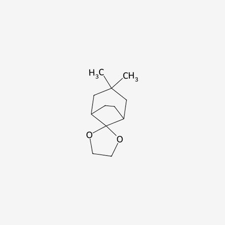 CC1(C)CC2CCC(C1)C21OCCO1